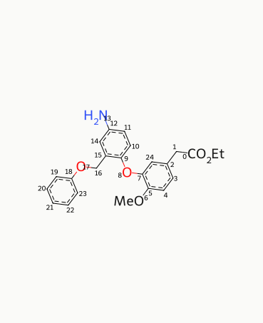 CCOC(=O)Cc1ccc(OC)c(Oc2ccc(N)cc2COc2ccccc2)c1